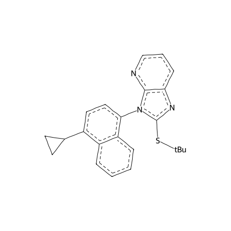 CC(C)(C)Sc1nc2cccnc2n1-c1ccc(C2CC2)c2ccccc12